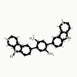 CCn1c2ccc(-c3cc(C)c(-c4ccc5[nH]c6ccncc6c5c4)cc3C)cc2c2ccncc21